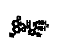 N=C(/N=C\N)c1c(Br)csc1NC(=O)Cn1c(=O)ccc2cc(Br)ccc21